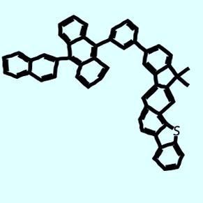 CC1(C)c2ccc(-c3cccc(-c4c5ccccc5c(-c5ccc6ccccc6c5)c5ccccc45)c3)cc2-c2cc3ccc4c5ccccc5sc4c3cc21